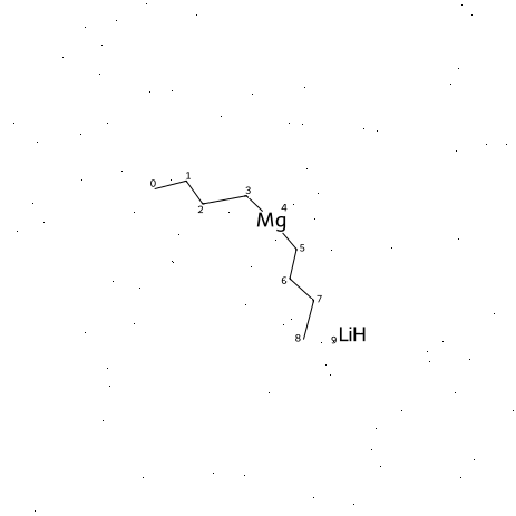 CCC[CH2][Mg][CH2]CCC.[LiH]